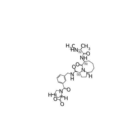 CN[C@@H](C)C(=O)N[C@H]1CCCC[C@H]2CC[C@@H](C(=O)NCc3cccc(C(=O)N4C[C@@H]5C[C@H]4C(=O)O5)c3)N2C1=O